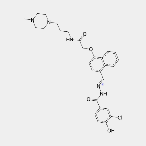 CN1CCN(CCCNC(=O)COc2ccc(/C=N/NC(=O)c3ccc(O)c(Cl)c3)c3ccccc23)CC1